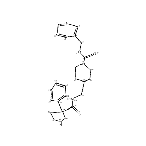 O=C(OCc1ccccc1)N1CCC(CNC(=O)[C@]2(c3ccccc3)CCNC2)CC1